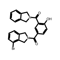 O=C(c1ccc(O)c(C(=O)N2Cc3ccccc3C2)c1)N1Cc2cccc(Br)c2C1